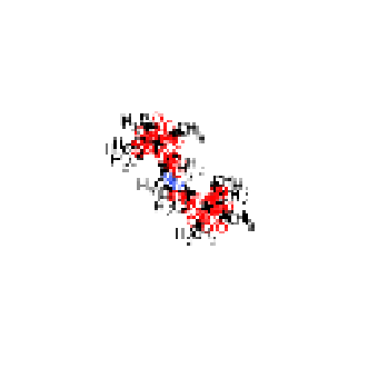 C=CC(=O)OC(OC(=O)C=C)(OC(=O)C=C)C(COCC(O)CN1C(=O)N(CC(O)COCC(C(OC(=O)C=C)(OC(=O)C=C)OC(=O)C=C)(C(OC(=O)C=C)(OC(=O)C=C)OC(=O)C=C)C(OC(=O)C=C)(OC(=O)C=C)OC(=O)C=C)C(C)(C)C1=O)(C(OC(=O)C=C)(OC(=O)C=C)OC(=O)C=C)C(OC(=O)C=C)(OC(=O)C=C)OC(=O)C=C